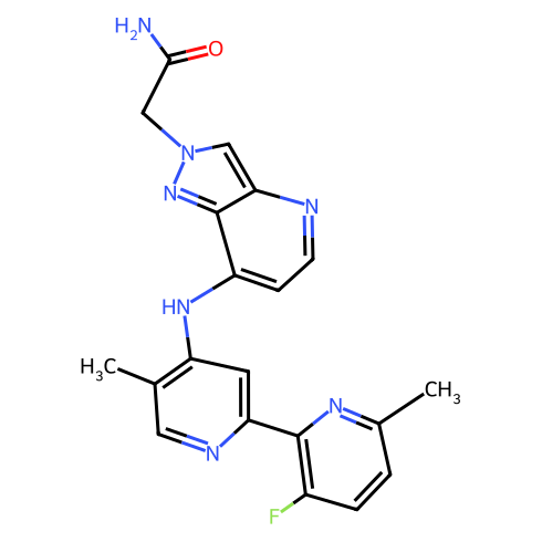 Cc1ccc(F)c(-c2cc(Nc3ccnc4cn(CC(N)=O)nc34)c(C)cn2)n1